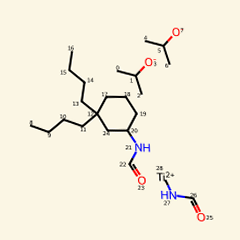 CC(C)[O-].CC(C)[O-].CCCCC1(CCCC)CCCC(NC=O)C1.O=C[NH][Ti+2]